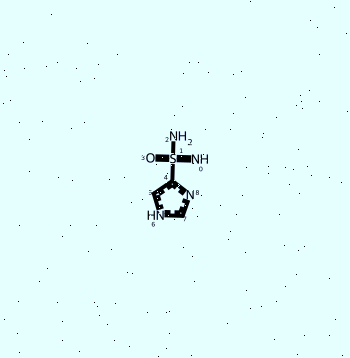 N=S(N)(=O)c1c[nH]cn1